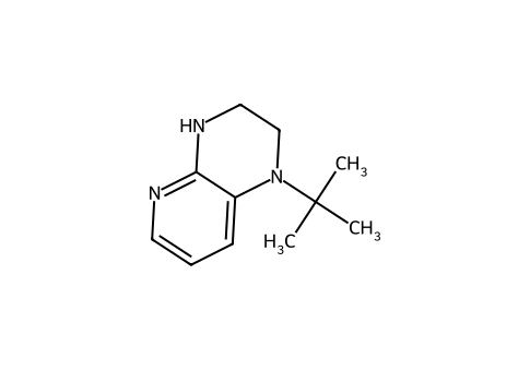 CC(C)(C)N1CCNc2ncccc21